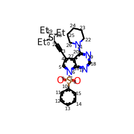 CC[Si](C#Cc1cn(S(=O)(=O)c2ccccc2)c2ncnc(N3CCCCC3)c12)(CC)CC